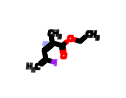 C=C(I)/C=C(/C)C(=O)OCC